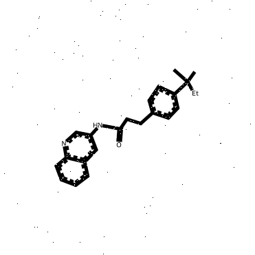 CCC(C)(C)c1ccc(CCC(=O)Nc2cnc3ccccc3c2)cc1